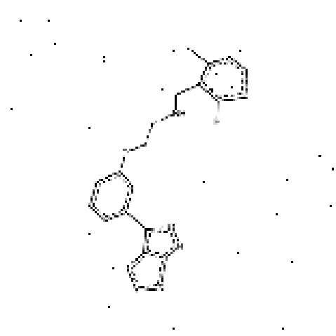 Fc1cccc(F)c1CNCCOc1cccc(-c2onc3sccc23)c1